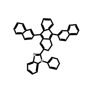 C1=CC(n2c(C3=Cc4c(c(-c5ccc6ccccc6c5)c5ccccc5c4-c4ccc5ccccc5c4)CC3)nc3ccccc32)=CCC1